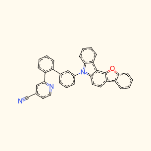 N#Cc1ccnc(-c2ccccc2-c2cccc(-n3c4ccccc4c4c5oc6ccccc6c5ccc43)c2)c1